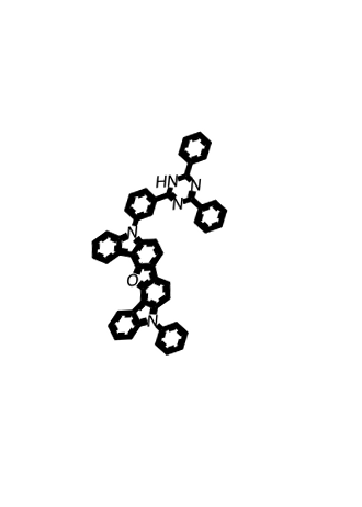 c1ccc(C2=NC(c3ccccc3)NC(c3cccc(-n4c5ccccc5c5c6oc7c(ccc8c7c7ccccc7n8-c7ccccc7)c6ccc54)c3)=N2)cc1